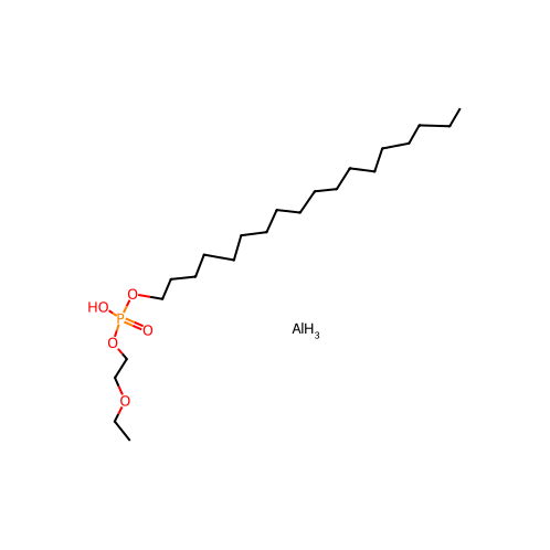 CCCCCCCCCCCCCCCCCCOP(=O)(O)OCCOCC.[AlH3]